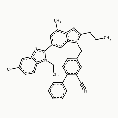 CCCc1nc2c(C)cc(-c3nc4cc(Cl)ccc4n3CC)cc2n1Cc1ccc(-c2ccccc2)c(C#N)c1